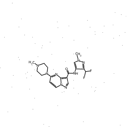 CN1CCN(c2ccn3ncc(C(=O)Nc4cn(C)nc4C(F)F)c3n2)CC1